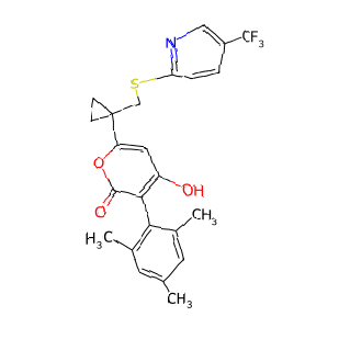 Cc1cc(C)c(-c2c(O)cc(C3(CSc4ccc(C(F)(F)F)cn4)CC3)oc2=O)c(C)c1